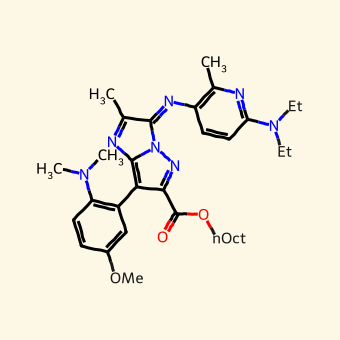 CCCCCCCCOC(=O)c1nn2c(c1-c1cc(OC)ccc1N(C)C)N=C(C)/C2=N/c1ccc(N(CC)CC)nc1C